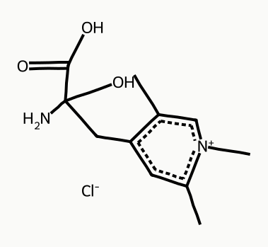 Cc1c[n+](C)c(C)cc1CC(N)(O)C(=O)O.[Cl-]